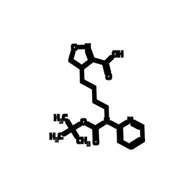 CC(C)(C)OC(=O)N(CCCCC1CON=C1C(=O)O)c1ccccn1